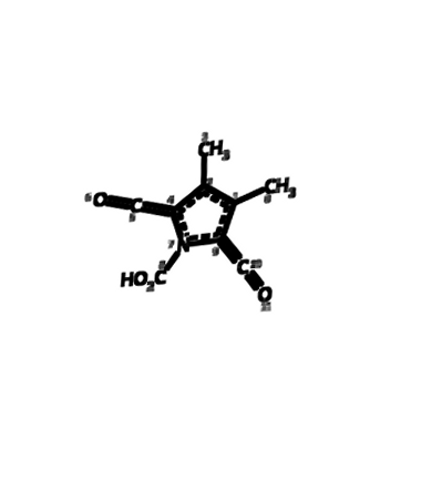 Cc1c(C)c(=C=O)n(C(=O)O)c1=C=O